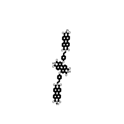 CC(C)N1C(=O)c2ccc3c4ccc5c6c(ccc(c7ccc(c2c37)C1=O)c64)C(=O)N(CCc1ccc(Oc2cc3c4c(ccc6c7c(Oc8ccc(CCN9C(=O)c%10ccc%11c%12ccc%13c%14c(ccc(c%15ccc(c%10c%11%15)C9=O)c%14%12)C(=O)N(C(C)C)C%13=O)cc8)cc8c9c(ccc(c2c46)c97)C(=O)NC8=O)C(=O)NC3=O)cc1)C5=O